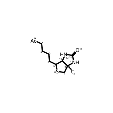 CC(=O)CCCCC1SC[C@H]2NC(=O)NC12